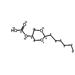 CCCCCCC1OCC(OC(=O)O)CO1